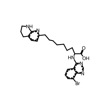 O=C(O)C(CCCCCCCc1ccc2c(n1)NCCC2)Nc1ncnc2c(Br)cccc12